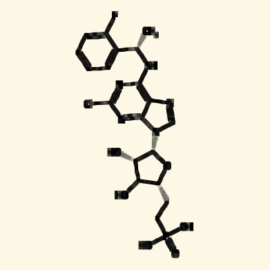 C[C@H](Nc1nc(Cl)nc2c1ncn2[C@@H]1O[C@H](CCP(=O)(O)O)C(O)[C@@H]1O)c1ccccc1F